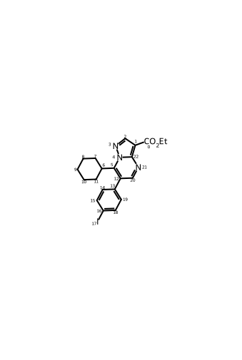 CCOC(=O)c1cnn2c(C3CCCCC3)c(-c3ccc(I)cc3)cnc12